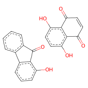 O=C1C=CC(=O)c2c(O)ccc(O)c21.O=C1c2ccccc2-c2cccc(O)c21